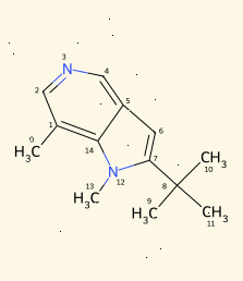 Cc1cncc2cc(C(C)(C)C)n(C)c12